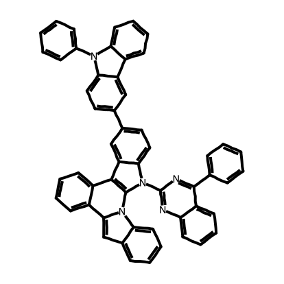 c1ccc(-c2nc(-n3c4ccc(-c5ccc6c(c5)c5ccccc5n6-c5ccccc5)cc4c4c5ccccc5c5cc6ccccc6n5c43)nc3ccccc23)cc1